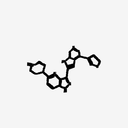 c1cc(-c2cncc3[nH]c(-c4n[nH]c5ccc(C6CCNCC6)nc45)cc23)cs1